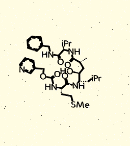 CSCC[C@H](NC(=O)OCc1cccnc1)C(=O)N[C@@H](CC(C)C)[C@@H](O)C[C@@H](C)C(=O)N[C@H](C(=O)NCc1ccccc1)C(C)C